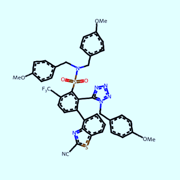 COc1ccc(CN(Cc2ccc(OC)cc2)S(=O)(=O)c2c(C(F)(F)F)ccc(-c3cccc4sc(C#N)nc34)c2-c2nnnn2Cc2ccc(OC)cc2)cc1